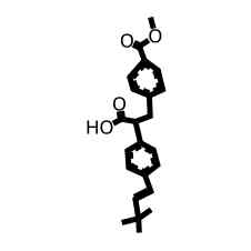 COC(=O)c1ccc(CC(C(=O)O)c2ccc(C=CC(C)(C)C)cc2)cc1